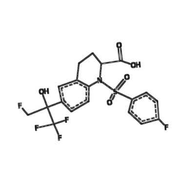 O=C(O)C1CCc2cc(C(O)(CF)C(F)(F)F)ccc2N1S(=O)(=O)c1ccc(F)cc1